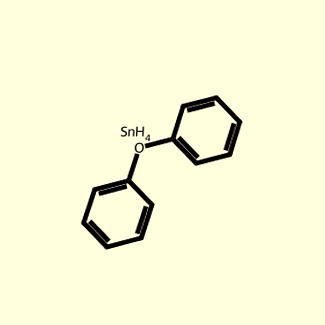 [SnH4].c1ccc(Oc2ccccc2)cc1